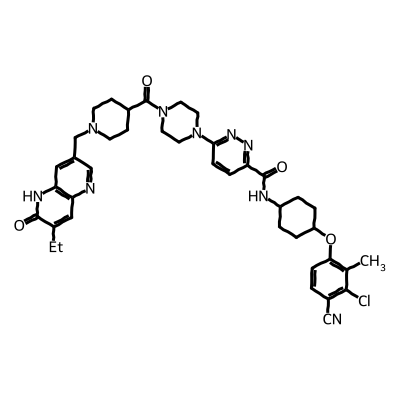 CCc1cc2ncc(CN3CCC(C(=O)N4CCN(c5ccc(C(=O)NC6CCC(Oc7ccc(C#N)c(Cl)c7C)CC6)nn5)CC4)CC3)cc2[nH]c1=O